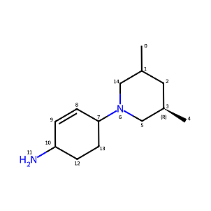 CC1C[C@@H](C)CN(C2C=CC(N)CC2)C1